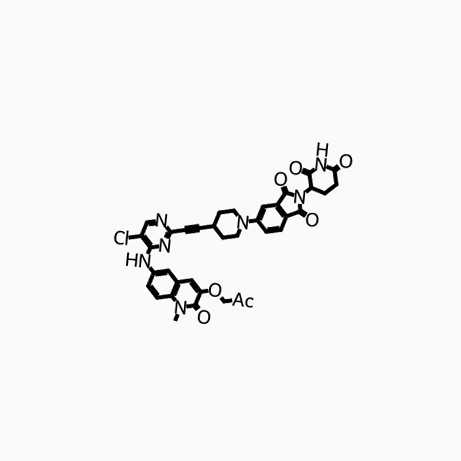 CC(=O)COc1cc2cc(Nc3nc(C#CC4CCN(c5ccc6c(c5)C(=O)N(C5CCC(=O)NC5=O)C6=O)CC4)ncc3Cl)ccc2n(C)c1=O